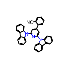 N#Cc1ccccc1-c1cc(-n2c3ccccc3c3ccccc32)nc(-n2c3ccccc3c3ccccc32)c1